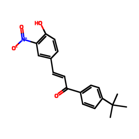 CC(C)(C)c1ccc(C(=O)C=Cc2ccc(O)c([N+](=O)[O-])c2)cc1